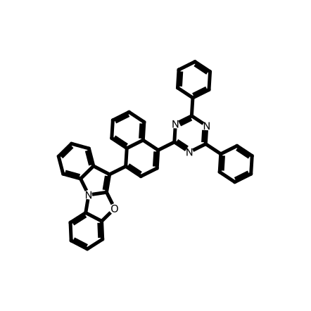 c1ccc(-c2nc(-c3ccccc3)nc(-c3ccc(-c4c5ccccc5n5c4oc4ccccc45)c4ccccc34)n2)cc1